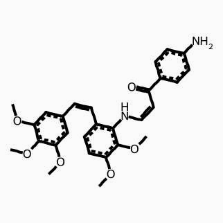 COc1cc(/C=C\c2ccc(OC)c(OC)c2N/C=C\C(=O)c2ccc(N)cc2)cc(OC)c1OC